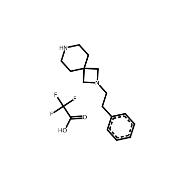 O=C(O)C(F)(F)F.c1ccc(CCN2CC3(CCNCC3)C2)cc1